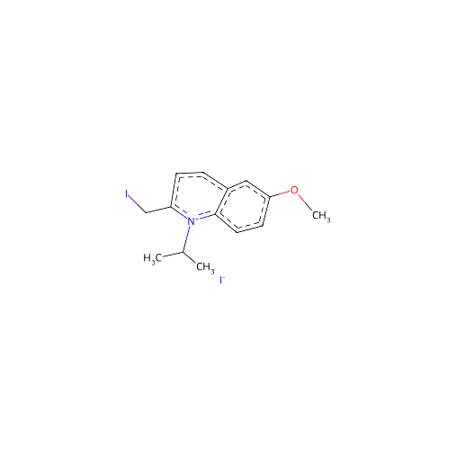 COc1ccc2c(ccc(CI)[n+]2C(C)C)c1.[I-]